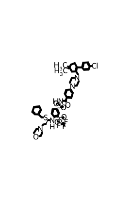 CC1(C)CCC(c2ccc(Cl)cc2)=C(CN2CCN(c3ccc(C(=O)NS(=O)(=O)c4ccc(N[C@@H](CCN5CCOCC5)SCc5ccccc5)c(S(=O)(=O)C(F)(F)F)c4)cc3)CC2)C1